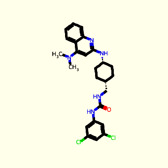 CN(C)c1cc(N[C@H]2CC[C@@H](CNC(=O)Nc3cc(Cl)cc(Cl)c3)CC2)nc2ccccc12